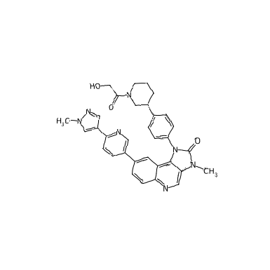 Cn1cc(-c2ccc(-c3ccc4ncc5c(c4c3)n(-c3ccc(C4CCCN(C(=O)CO)C4)cc3)c(=O)n5C)cn2)cn1